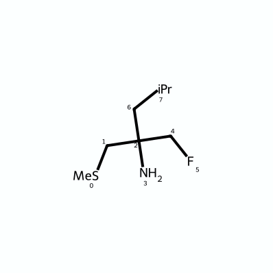 CSCC(N)(CF)CC(C)C